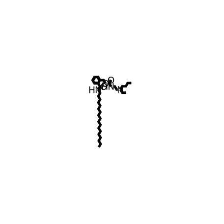 CCCCCCCCCCCCCCCCCCNC(=O)c1ccccc1COC(=O)NCCN(CC)CCCC